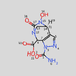 NC(=O)n1ncc2c1C(C(=O)O)N1C[C@H]2N(O)C1=O